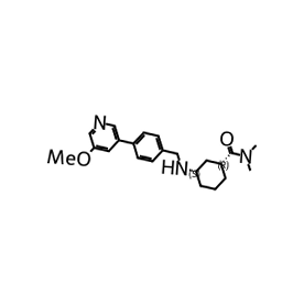 COc1cncc(-c2ccc(CN[C@H]3CCC[C@@H](C(=O)N(C)C)C3)cc2)c1